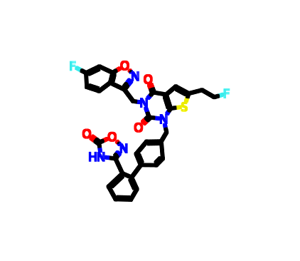 O=c1[nH]c(-c2ccccc2-c2ccc(Cn3c(=O)n(Cc4noc5cc(F)ccc45)c(=O)c4cc(CCF)sc43)cc2)no1